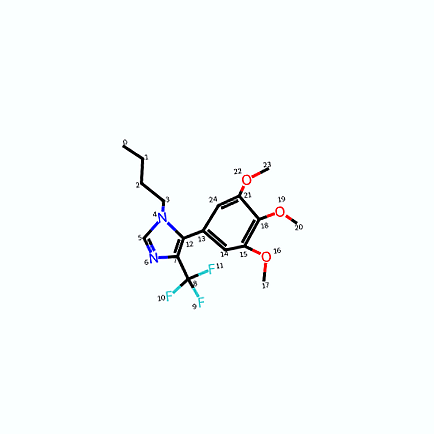 CCCCn1cnc(C(F)(F)F)c1-c1cc(OC)c(OC)c(OC)c1